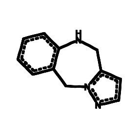 c1ccc2c(c1)Cn1nccc1CN2